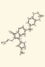 C=CCn1c(=O)c2cnc(Nc3ccc4c(c3)CNCC4)nc2n1-c1coc(C(C)(C)C)n1